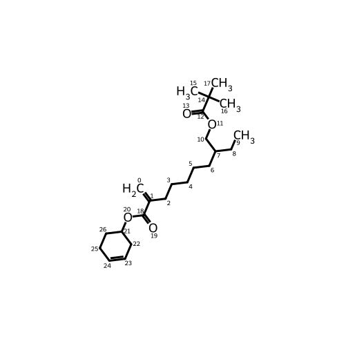 C=C(CCCCCC(CC)COC(=O)C(C)(C)C)C(=O)OC1CC=CCC1